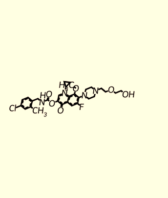 COc1c(N2CCN(CCOCCO)CC2)c(F)cc2c(=O)c(OC(=O)NCc3ccc(Cl)cc3C)cn(C3CC3)c12